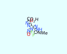 CNc1cc(F)c(F)c2c1[nH]c1ncc(-c3cnc4c(c3)c(=O)c(C(=O)O)cn4C)c(N3CCN4CCOCC4C3)c12